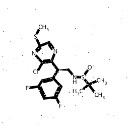 CSc1cnc([C@@H](CN[S+]([O-])C(C)(C)C)c2cc(F)cc(F)c2)c(Cl)n1